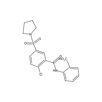 O=C(Nc1ccccc1C(=O)O)c1cc(S(=O)(=O)N2CCCC2)ccc1Cl